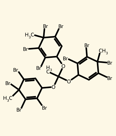 CC(OC1C=C(Br)C(C)(Br)C(Br)=C1Br)(OC1C=C(Br)C(C)(Br)C(Br)=C1Br)OC1C=C(Br)C(C)(Br)C(Br)=C1Br